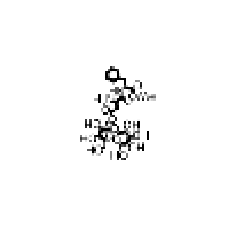 COC(=O)C(Cc1ccccc1)NC(=O)C(N)CC(=O)OC[C@@]1(O[C@H]2O[C@H](CO)[C@@H](O)[C@H](O)[C@H]2O)O[C@H](CO)[C@@H](O)[C@@H]1O